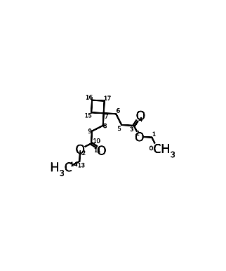 CCOC(=O)CCC1(CCC(=O)OCC)CCC1